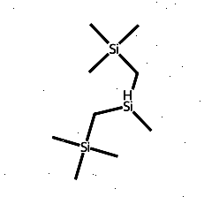 C[SiH](C[Si](C)(C)C)C[Si](C)(C)C